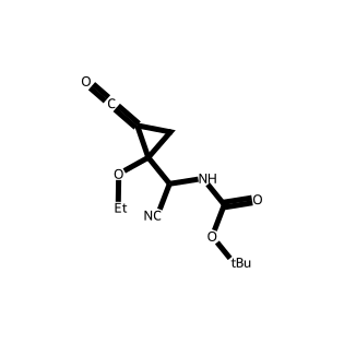 CCOC1(C(C#N)NC(=O)OC(C)(C)C)CC1=C=O